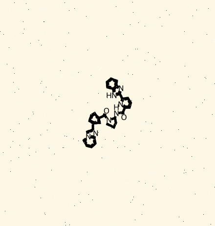 O=C(NC1CCCN1C(=O)c1cccc(-c2cn3ccccc3n2)c1)c1cccc(-c2nc3ccccc3[nH]2)n1